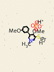 COc1cccc(-c2c[n+](C)cc(SC(C)C)c2OC)c1.O=P([O-])([O-])[O-].[H+].[H+]